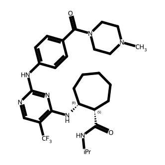 CC(C)NC(=O)[C@H]1CCCCC[C@H]1Nc1nc(Nc2ccc(C(=O)N3CCN(C)CC3)cc2)ncc1C(F)(F)F